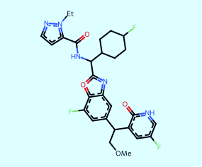 CCn1nccc1C(=O)NC(c1nc2cc(C(COC)c3cc(F)c[nH]c3=O)cc(F)c2o1)C1CCC(F)CC1